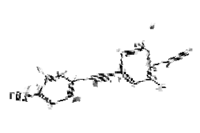 C#Cc1c(F)cc(C#Cc2ccc(CCCC)cc2)cc1F